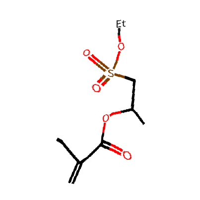 C=C(C)C(=O)OC(C)CS(=O)(=O)OCC